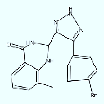 Cc1cccc2c1NC(c1n[nH]nc1-c1ccc(Br)cc1)NC2=O